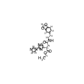 CCOC(=O)C(CC(=O)NCCc1ccc2c(c1)OCO2)c1nc(-n2ccnc2)ns1